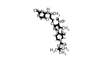 Cc1c([N+](=O)[O-])c(OCC[C@@H](C)Nc2nc(Cl)ncc2Cl)nn1C1CCN(C(=O)OC(C)(C)C)CC1(F)F